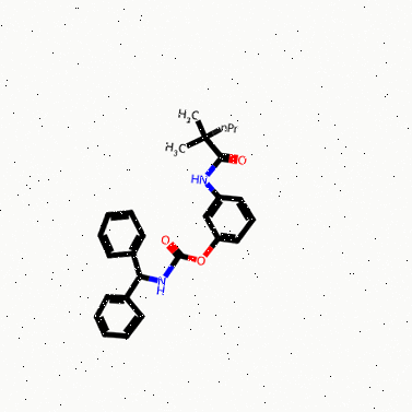 CCCC(C)(C)C(=O)Nc1cccc(OC(=O)NC(c2ccccc2)c2ccccc2)c1